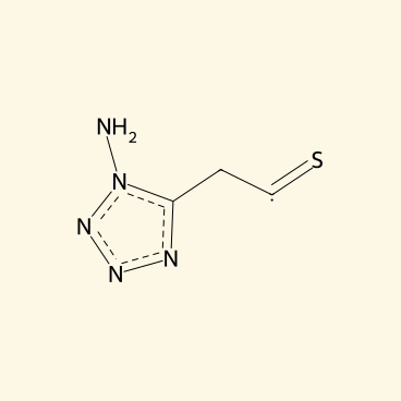 Nn1nnnc1C[C]=S